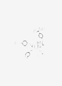 N=C(N)c1ccc(CNC(=O)[C@H](CCC(=O)O)NC(=O)[C@@H](CCc2ccncc2)NNCc2ccc(O)cc2)cc1